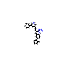 Cc1ccccc1-c1ccc2nc(N)c(C=Cc3cncc(C4=CCCCC4)c3)cc2c1